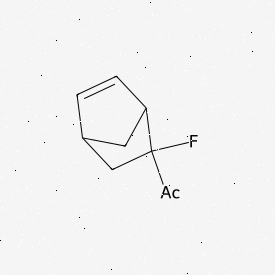 CC(=O)C1(F)CC2C=CC1C2